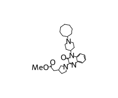 COC(=O)CC1CCN(c2nc3ccccc3n(C3CCN(C4CCCCCCC4)CC3)c2=O)C1